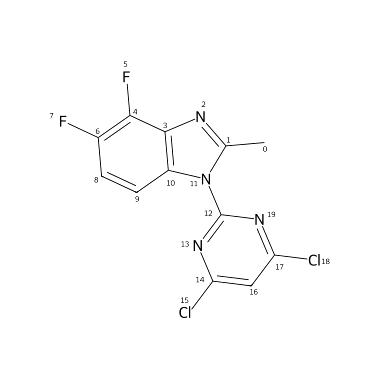 Cc1nc2c(F)c(F)ccc2n1-c1nc(Cl)cc(Cl)n1